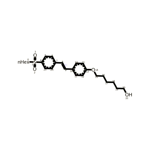 CCCCCCS(=O)(=O)c1ccc(/C=C/c2ccc(OCCCCCCO)cc2)cc1